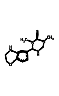 CN1CNC(c2ccc3c(c2)NCCO3)N(C)C1=S